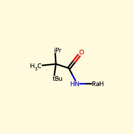 CC(C)C(C)(C(=O)[NH][RaH])C(C)(C)C